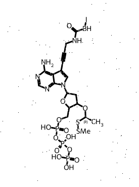 CSS[C@H](C)OC1CC(n2cc(C#CCNC(=O)BI)c3c(N)ncnc32)OC1COP(=O)(O)OP(=O)(O)OP(=O)(O)O